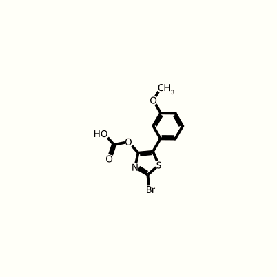 COc1cccc(-c2sc(Br)nc2OC(=O)O)c1